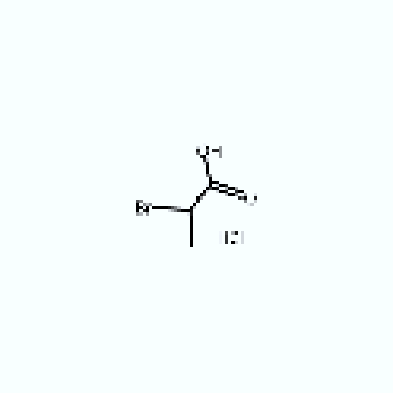 CC(Br)C(=O)O.Cl